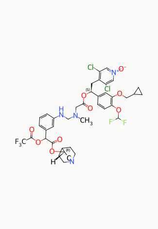 CN(CNc1cccc(C(OC(=O)C(F)(F)F)C(=O)O[C@H]2CN3CCC2CC3)c1)CC(=O)O[C@@H](Cc1c(Cl)c[n+]([O-])cc1Cl)c1ccc(OC(F)F)c(OCC2CC2)c1